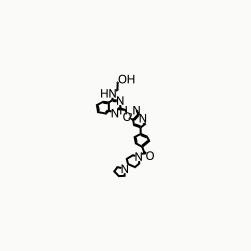 Nc1ncc(-c2ccc(C(=O)N3CCC(N4CCCC4)CC3)cc2)cc1OCc1nc(NCCO)c2ccccc2n1